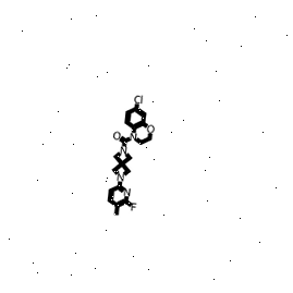 Cc1ccc(N2CC3(CN(C(=O)N4CCOc5cc(Cl)ccc54)C3)C2)nc1F